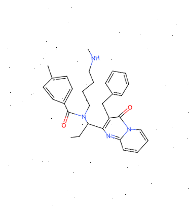 CCC(c1nc2ccccn2c(=O)c1Cc1ccccc1)N(CCCCNC)C(=O)c1ccc(C)cc1